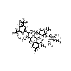 Cc1cc(F)ccc1[C@H]1C[C@@]2(CCN1C(=O)N(C)[C@H](C)c1cc(C(F)(F)F)cc(C(F)(F)F)c1)CC[C@](C)(CO[Si](C)(C)C)N2